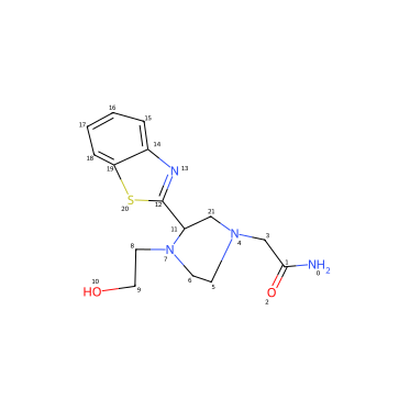 NC(=O)CN1CCN(CCO)C(c2nc3ccccc3s2)C1